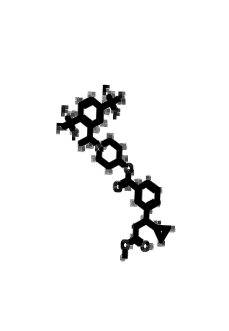 COC(=O)CC(c1cccc(C(=O)OC2CCN(C(C)c3cc(C(F)(F)F)ccc3C(F)(F)F)CC2)c1)C1CC1